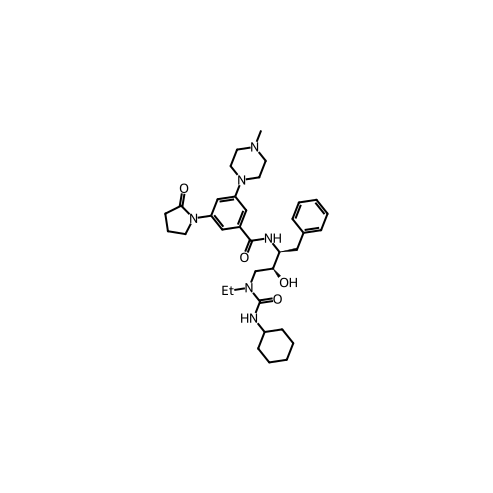 CCN(C[C@H](O)[C@H](Cc1ccccc1)NC(=O)c1cc(N2CCN(C)CC2)cc(N2CCCC2=O)c1)C(=O)NC1CCCCC1